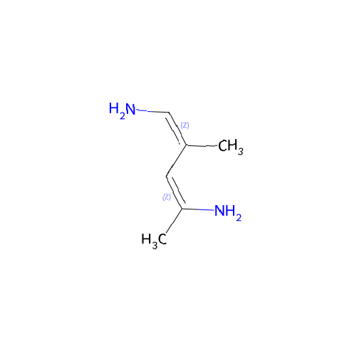 C/C(N)=C/C(C)=C\N